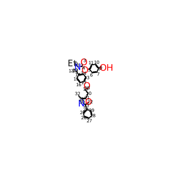 CCN(C(=O)Oc1ccc(O)cc1)[C@@H](C)c1ccc(OCCc2oc(-c3ccccc3)nc2C)cc1